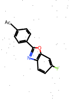 CC(=O)c1ccc(-c2nc3ccc(F)cc3o2)cc1